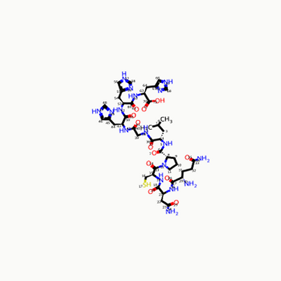 CC(C)C[C@H](NC(=O)[C@@H]1CCCN1C(=O)[C@H](CS)NC(=O)[C@H](CC(N)=O)NC(=O)[C@@H](N)CCC(N)=O)C(=O)NCC(=O)N[C@@H](Cc1c[nH]cn1)C(=O)N[C@@H](Cc1c[nH]cn1)C(=O)N[C@@H](Cc1c[nH]cn1)C(=O)O